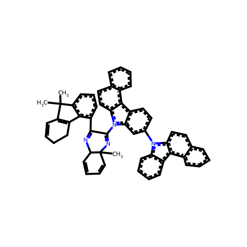 CC1(C)C2=C(CCC=C2)c2c(C3=NC4C=CC=CC4(C)N=C3n3c4cc(-n5c6ccccc6c6c7ccccc7ccc65)ccc4c4c5ccccc5ccc43)cccc21